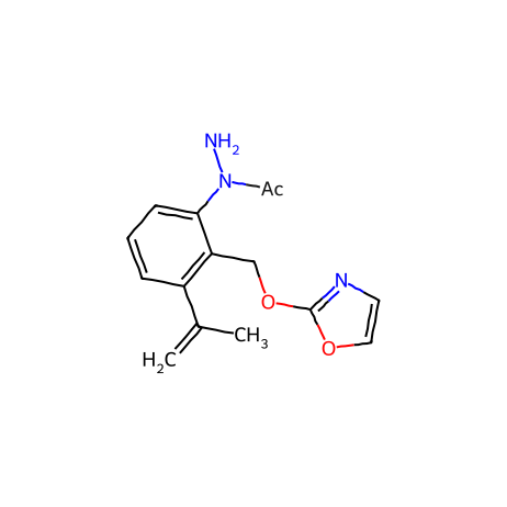 C=C(C)c1cccc(N(N)C(C)=O)c1COc1ncco1